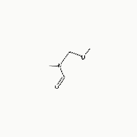 COCN(C)C=O